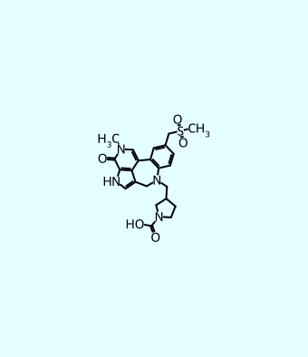 Cn1cc2c3c(c[nH]c3c1=O)CN(CC1CCN(C(=O)O)C1)c1ccc(CS(C)(=O)=O)cc1-2